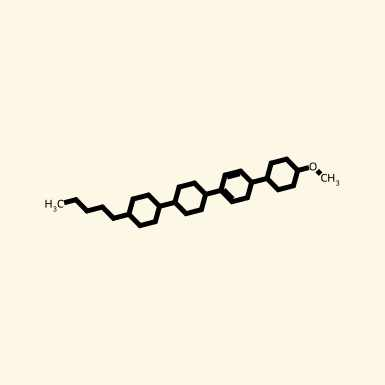 CCCCCC1CCC(C2CCC(C3=CCC(C4CCC(OC)CC4)C=C3)CC2)CC1